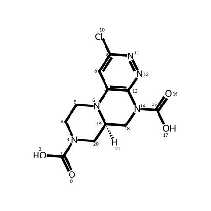 O=C(O)N1CCN2c3cc(Cl)nnc3N(C(=O)O)C[C@H]2C1